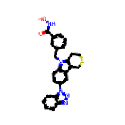 O=C(NO)c1cccc(Cn2c3c(c4cc(-n5nnc6ccccc65)ccc42)CSCC3)c1